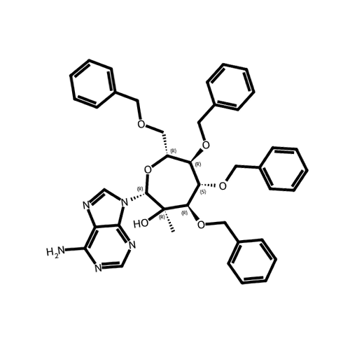 C[C@@]1(O)[C@H](OCc2ccccc2)[C@@H](OCc2ccccc2)[C@H](OCc2ccccc2)[C@@H](COCc2ccccc2)O[C@H]1n1cnc2c(N)ncnc21